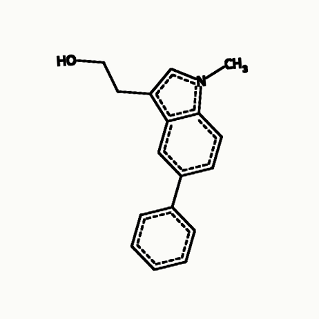 Cn1cc(CCO)c2cc(-c3ccccc3)ccc21